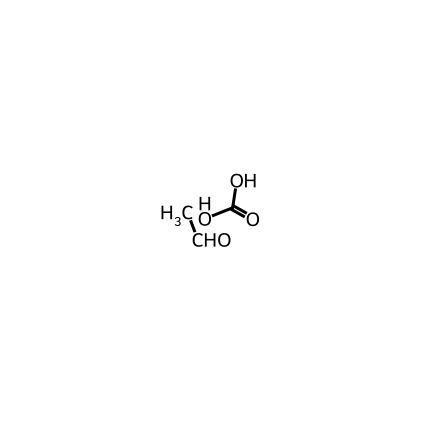 CC=O.O=C(O)O